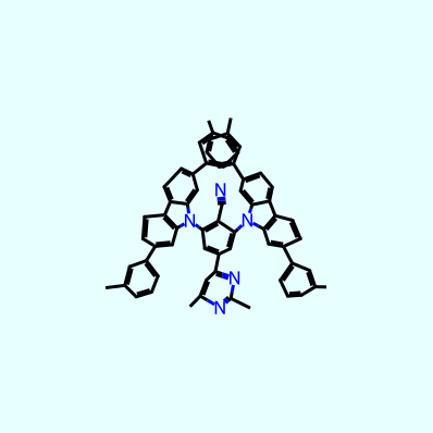 Cc1cccc(-c2ccc3c4ccc(-c5cccc(C)c5)cc4n(-c4cc(-c5cc(C)nc(C)n5)cc(-n5c6cc(-c7cccc(C)c7)ccc6c6ccc(-c7cccc(C)c7)cc65)c4C#N)c3c2)c1